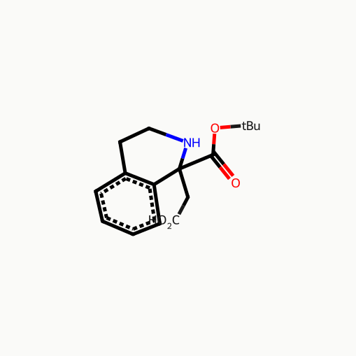 CC(C)(C)OC(=O)C1(CC(=O)O)NCCc2ccccc21